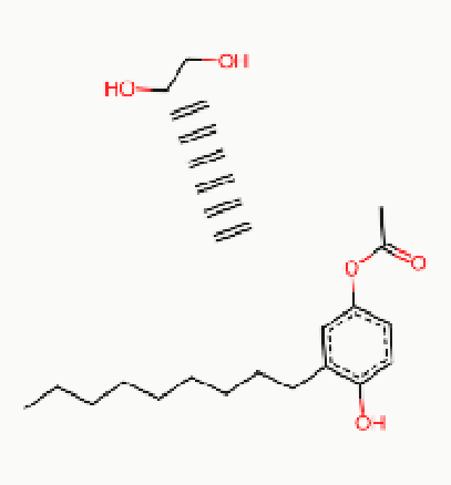 C=C.C=C.C=C.C=C.C=C.C=C.CCCCCCCCCc1cc(OC(C)=O)ccc1O.OCCO